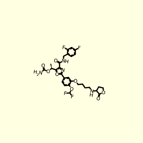 C[C@H](OC(N)=O)c1oc(-c2ccc(OC(F)F)c(OCCCCNC3CCOC3=O)c2)nc1C(=O)NCc1ccc(F)cc1F